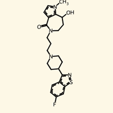 Cn1ccc2c1C(O)CCN(CCCN1CCC(c3nsc4cc(F)ccc34)CC1)C2=O